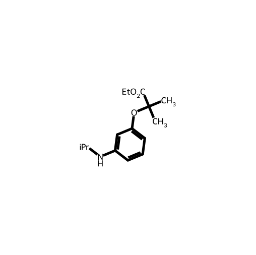 CCOC(=O)C(C)(C)Oc1cccc(NC(C)C)c1